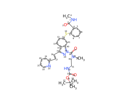 CNC(=O)c1ccccc1Sc1ccc2c(/C=C/c3ccccn3)nn(C(=O)N(C)CCNC(=O)OC(C)(C)C)c2c1